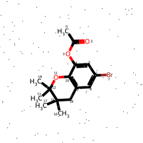 CC(=O)Oc1cc(Br)cc2c1OC(C)(C)C(C)(C)C2